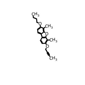 CC#CCOc1ccc2c(oc3c(C)c(OCCCC)ccc32)c1C